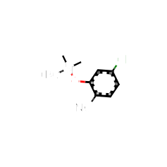 CC(C)(C)[Si](C)(C)Oc1cc(Cl)ccc1C#N